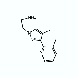 Cc1cccnc1-c1nn2c(c1C)CNCC2